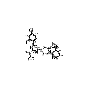 CC(C)N(C)c1nc(-c2ccc(Cl)cc2F)nc(N2CCN(c3ncccc3C(F)(F)F)CC2)n1